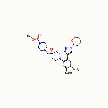 COc1cc(N2CCC(O)(CN3CCN(C(=O)OC(C)(C)C)CC3)CC2)c(-c2cnn(C3CCCCO3)c2)cc1[N+](=O)[O-]